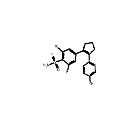 N#Cc1ccc(C2=C(c3cc(F)c(S(N)(=O)=O)c(F)c3)CCC2)cc1